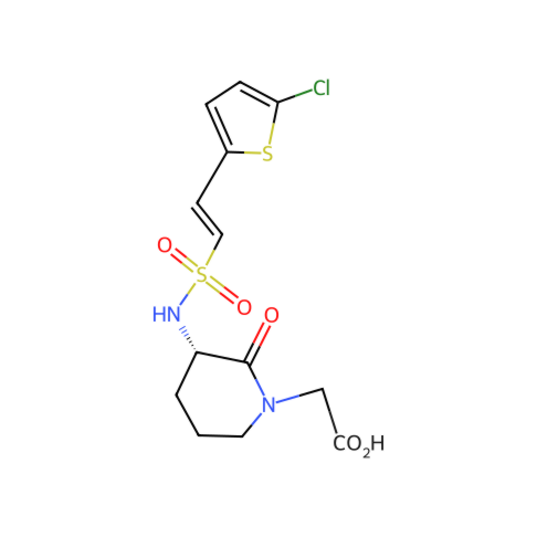 O=C(O)CN1CCC[C@H](NS(=O)(=O)/C=C/c2ccc(Cl)s2)C1=O